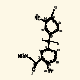 CNC(=O)c1cc(C(C)(C)c2ccc(F)c(C#N)c2)ccc1C(C)C